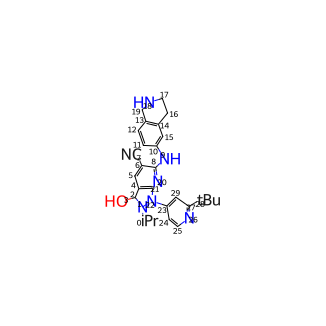 CC(C)N1C(O)c2cc(C#N)c(Nc3ccc4c(c3)CCNC4)nc2N1c1ccnc(C(C)(C)C)c1